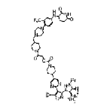 CC(C)n1nc(-c2noc(C3CC3)c2-c2ncc(C3CCN(C(=O)OCC(=O)N4CCC(CN5CCN(c6ccc(NC7CCC(=O)NC7=O)cc6C(F)(F)F)CC5)CC4)CC3)cn2)c2c(N)ncnc21